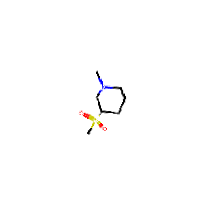 CN1CCC[C@H](S(C)(=O)=O)C1